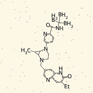 BC(B)(B)NC(=O)c1ccc(N2CCN(Cc3cnc4cc(CC)c(=O)[nH]c4c3)C3C(C)C32)cn1